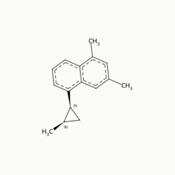 Cc1cc(C)c2cccc([C@H]3C[C@H]3C)c2c1